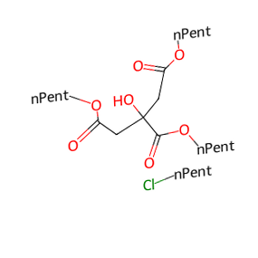 CCCCCCl.CCCCCOC(=O)CC(O)(CC(=O)OCCCCC)C(=O)OCCCCC